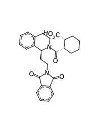 O=C(O)[C@@H]1CCCC[C@@H]1C(=O)N1CCc2ccccc2[C@@H]1CCN1C(=O)c2ccccc2C1=O